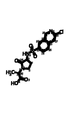 C[C@H](C(=O)O)N1CCC(NS(=O)(=O)c2ccc3cc(Cl)ncc3c2)C1=O